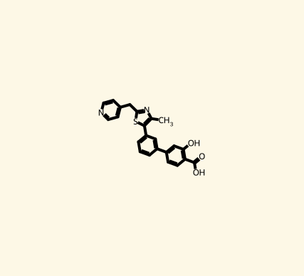 Cc1nc(Cc2ccncc2)sc1-c1cccc(-c2ccc(C(=O)O)c(O)c2)c1